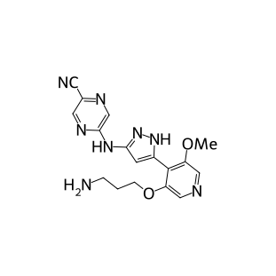 COc1cncc(OCCCN)c1-c1cc(Nc2cnc(C#N)cn2)n[nH]1